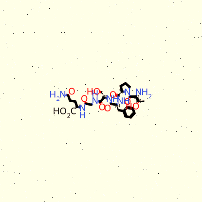 C[C@@H](O)[C@H](N)C(=O)N1CCC[C@H]1C(=O)N[C@@H](Cc1ccccc1)C(=O)N[C@@H](CO)C(=O)NCC(=O)N[C@@H](CCC(N)=O)C(=O)O